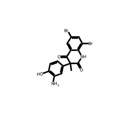 CC1(c2ccc(O)c(N)c2)C(=O)Nc2c(Br)cc(Br)cc2C1=O